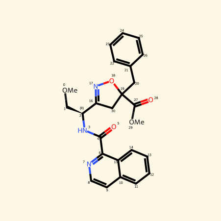 COC[C@H](NC(=O)c1nccc2ccccc12)C1=NOC(Cc2ccccc2)(C(=O)OC)C1